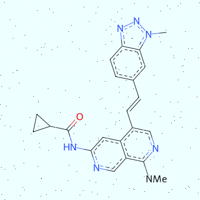 CNc1ncc(/C=C/c2ccc3nnn(C)c3c2)c2cc(NC(=O)C3CC3)ncc12